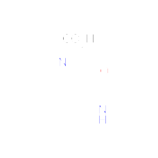 CN(C(=O)O)C1CNCO1